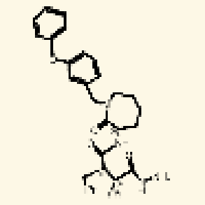 CCC[C@H](C(=O)NN)[C@@H](CC(C)C)C(=O)N[C@H]1CCCCN(Cc2cccc(Oc3ccccc3)c2)C1=O